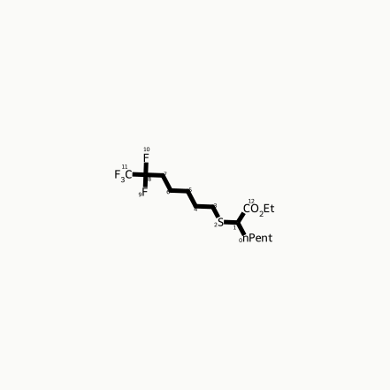 CCCCCC(SCCCCCC(F)(F)C(F)(F)F)C(=O)OCC